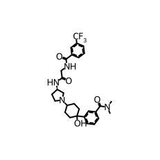 CN(C)C(=O)c1cccc(C2(O)CCC(N3CC[C@@H](NC(=O)CNC(=O)c4cccc(C(F)(F)F)c4)C3)CC2)c1